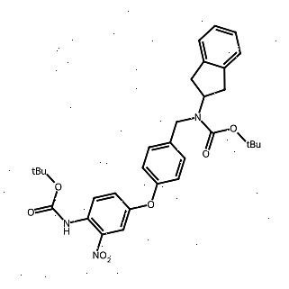 CC(C)(C)OC(=O)Nc1ccc(Oc2ccc(CN(C(=O)OC(C)(C)C)C3Cc4ccccc4C3)cc2)cc1[N+](=O)[O-]